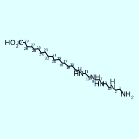 NCCNCCNCCNCCNCCCCCCCCCCCCCCCCCC(=O)O